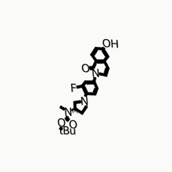 CN(C(=O)OC(C)(C)C)[C@@H]1CCN(c2ccc(-n3ccc4cc(O)ccc4c3=O)cc2F)C1